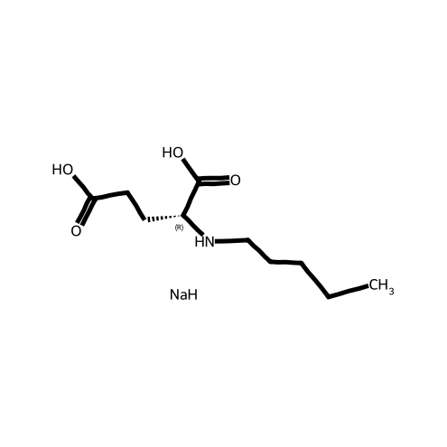 CCCCCN[C@H](CCC(=O)O)C(=O)O.[NaH]